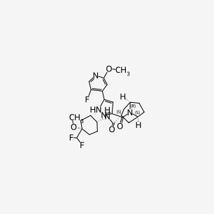 COc1cc(-c2cc(C(=O)N3[C@@H]4CC[C@H]3C[C@H](C(=O)N[C@H]3CC[C@](OC)(C(F)F)CC3)C4)n[nH]2)c(F)cn1